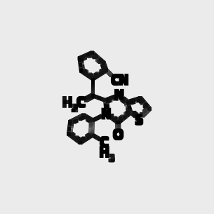 C=C(c1ccccc1C#N)c1nc2ccsc2c(=O)n1-c1ccccc1C